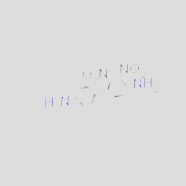 Nc1ccc(-c2ccc(N)c([N+](=O)[O-])c2[N+](=O)[O-])cc1